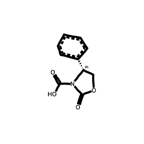 O=C(O)N1C(=O)OC[C@H]1c1ccccc1